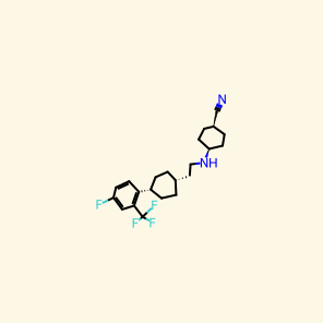 N#C[C@H]1CC[C@@H](NCC[C@H]2CC[C@@H](c3ccc(F)cc3C(F)(F)F)CC2)CC1